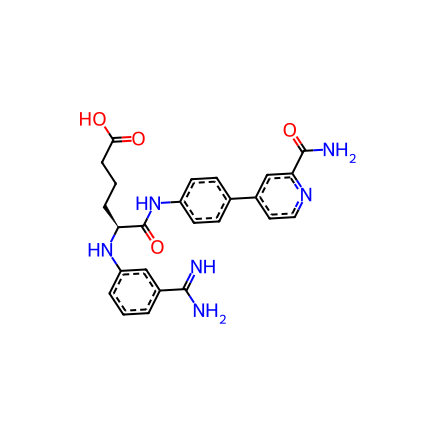 N=C(N)c1cccc(N[C@@H](CCCC(=O)O)C(=O)Nc2ccc(-c3ccnc(C(N)=O)c3)cc2)c1